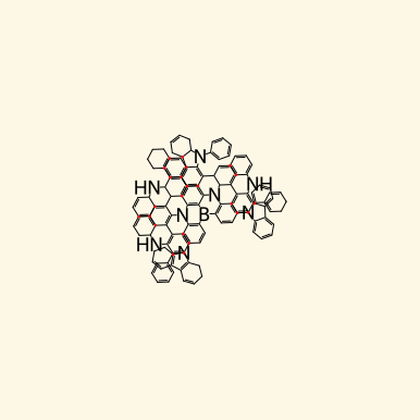 C1=CCC(Nc2c(C3=C(N4c5cc(-n6c7c(c8c6CCC=C8)C=CCC7)ccc5B5c6ccc(-n7c8ccccc8c8ccccc87)cc6N(C6C(c7cccc(C8=CCCC=C8)c7Nc7ccccc7)=CC=CC6c6cccc7c6N(c6ccccc6)C6CC=CCC76)c6cc(-c7ccccc7)cc4c65)C(C4C=CC=C(C5=CCCCC5)C4NC4C=CC=CC4)=CCC3)cccc2-c2ccccc2)C=C1